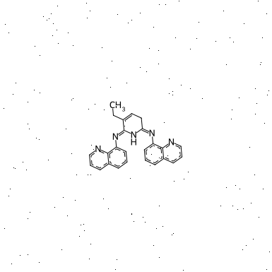 CCC1=CCC(=Nc2cccc3cccnc23)NC1=Nc1cccc2cccnc12